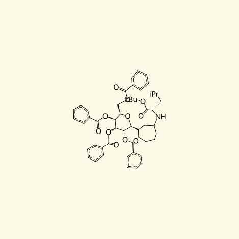 CC(C)C[C@H](NC1CCCCC([C@@H]2O[C@H](COC(=O)c3ccccc3)[C@H](OC(=O)c3ccccc3)[C@H](OC(=O)c3ccccc3)[C@H]2OC(=O)c2ccccc2)C1)C(=O)OC(C)(C)C